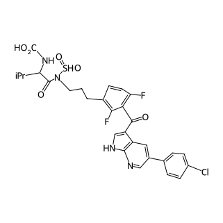 CC(C)C(NC(=O)O)C(=O)N(CCCc1ccc(F)c(C(=O)c2c[nH]c3ncc(-c4ccc(Cl)cc4)cc23)c1F)[SH](=O)=O